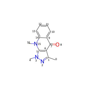 Cc1nn(C)c2c1c(=O)c1ccccc1n2C